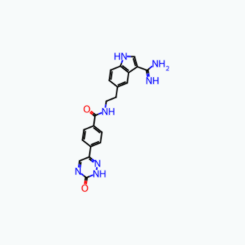 N=C(N)c1c[nH]c2ccc(CCNC(=O)c3ccc(-c4cnc(=O)[nH]n4)cc3)cc12